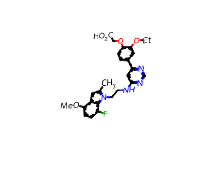 CCOc1cc(-c2cc(NCCn3c(C)cc4c(OC)ccc(F)c43)ncn2)ccc1OCC(=O)O